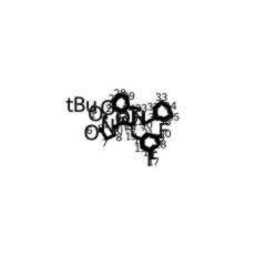 CC(C)(C)OC(=O)N1C(=O)CC[C@@H]1[C@@H](O)[C@H](Cc1cc(F)cc(F)c1)N(Cc1ccccc1)Cc1ccccc1